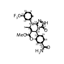 COC(=O)C1=C(C)N(c2cccc(C(F)(F)F)c2)c2n[nH]c(=O)n2C1c1ccc(C(N)=O)cc1